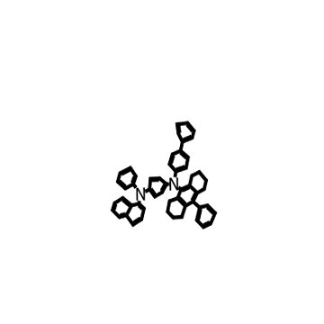 c1ccc(-c2ccc(N(c3ccc(N(c4ccccc4)c4cccc5ccccc45)cc3)c3c4c(c(-c5ccccc5)c5c3CCCC5)CCCC4)cc2)cc1